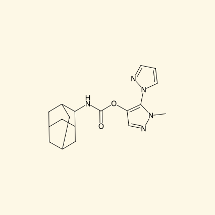 Cn1ncc(OC(=O)NC2C3CC4CC(C3)CC2C4)c1-n1cccn1